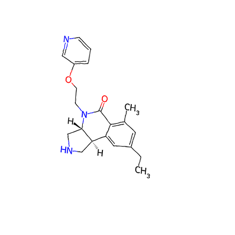 CCc1cc(C)c2c(c1)[C@H]1CNC[C@@H]1N(CCOc1cccnc1)C2=O